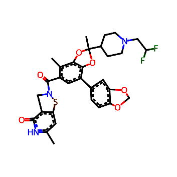 Cc1cc2c(c(=O)[nH]1)CN(C(=O)c1cc(-c3ccc4c(c3)OCO4)c3c(c1C)OC(C)(C1CCN(CC(F)F)CC1)O3)S2